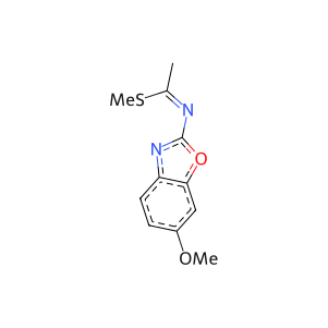 COc1ccc2nc(/N=C(/C)SC)oc2c1